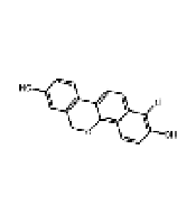 Oc1ccc2c(c1)COc1c-2ccc2c(Cl)c(O)ccc12